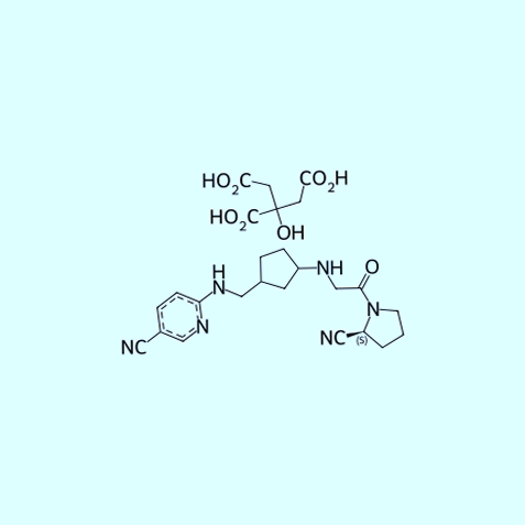 N#Cc1ccc(NCC2CCC(NCC(=O)N3CCC[C@H]3C#N)C2)nc1.O=C(O)CC(O)(CC(=O)O)C(=O)O